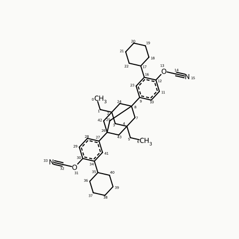 CCC12CC3(CC)CC(c4ccc(OC#N)c(C5CCCCC5)c4)(C1)CC(c1ccc(OC#N)c(C4CCCCC4)c1)(C2)C3